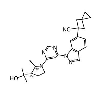 C[C@@H]1[C@@H](C(C)(C)O)CCN1c1cc(-n2ncc3ccc(C4(C#N)CC5(CC5)C4)cc32)ncn1